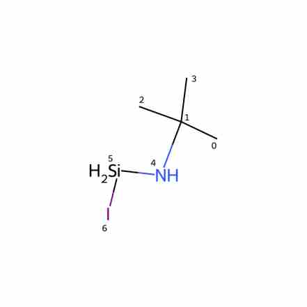 CC(C)(C)N[SiH2]I